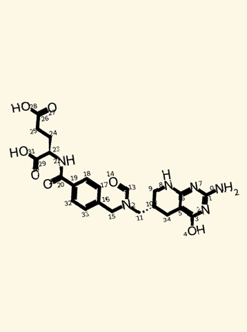 Nc1nc(O)c2c(n1)NC[C@@H](CN(C=O)Cc1ccc(C(=O)N[C@H](CCC(=O)O)C(=O)O)cc1)C2